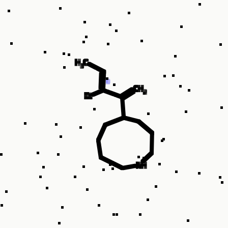 C=C(/C(=C/C)CC)C1CCCCNCCC1